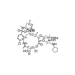 CC[C@H]1OC(=O)[C@H](C)[C@@H](O[C@H]2C[C@@](C)(OC)[C@](O)(CNC3CCCC3)[C@H](C)O2)[C@H](C)[C@@H](O[C@@H]2O[C@H](C)C[C@H](N(C)S(=O)(=O)c3ccc(Cl)cc3)[C@H]2O)[C@](C)(O)C[C@@H](C)CN[C@H](C)[C@@H](O)[C@]1(C)O